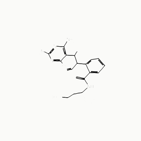 C=CC(c1ccccc1C(=O)N[C@@H](CCC(=O)O)C(=O)O)C(CC)c1c(N)nc(N)nc1O